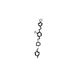 Cc1ccc(CC[C@H]2CC[C@H](CCc3ccc(CCc4ccc(Cl)cc4)c(F)c3)CC2)cc1